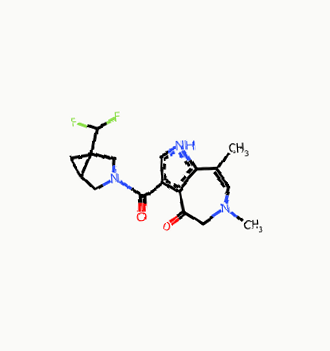 CC1=CN(C)CC(=O)c2c(C(=O)N3CC4CC4(C(F)F)C3)c[nH]c21